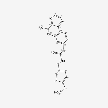 O=C(O)Cc1ccc(CNC(=O)Nc2ccc(-c3ccccc3OC(F)(F)F)c(Cl)c2)cc1